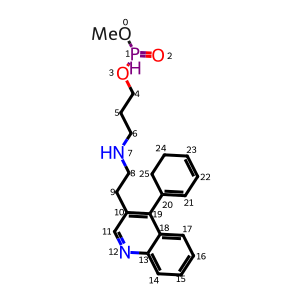 CO[PH](=O)OCCCNCCc1cnc2ccccc2c1C1=CC=CCC1